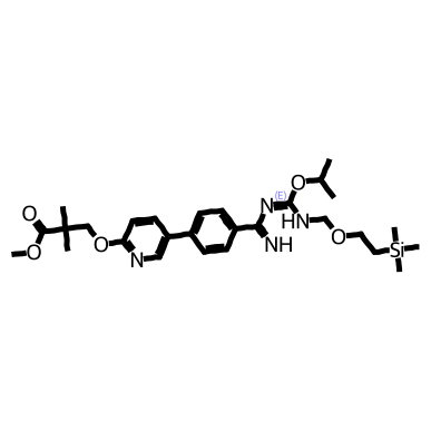 COC(=O)C(C)(C)COc1ccc(-c2ccc(C(=N)/N=C(\NCOCC[Si](C)(C)C)OC(C)C)cc2)cn1